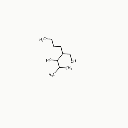 CCCCC(CO)C(O)C(C)C